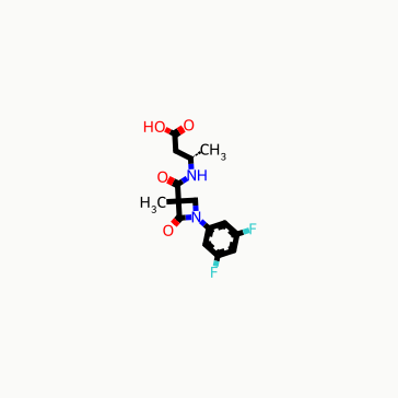 C[C@@H](CC(=O)O)NC(=O)C1(C)CN(c2cc(F)cc(F)c2)C1=O